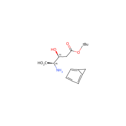 CC(C)(C)OC(=O)C[C@H](O)[C@@H](N)C(=O)O.c1ccc2c(c1)C2